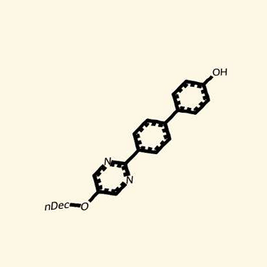 CCCCCCCCCCOc1cnc(-c2ccc(-c3ccc(O)cc3)cc2)nc1